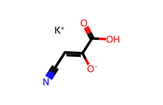 N#CC=C([O-])C(=O)O.[K+]